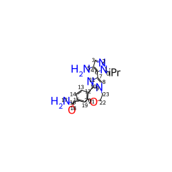 CC(C)n1ncc(N)c1-c1cn2c(n1)-c1ccc(C(N)=O)cc1OCC2